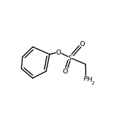 O=S(=O)(CP)Oc1ccccc1